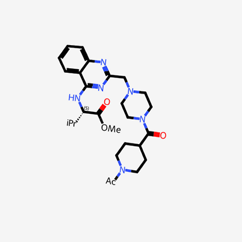 COC(=O)[C@@H](Nc1nc(CN2CCN(C(=O)C3CCN(C(C)=O)CC3)CC2)nc2ccccc12)C(C)C